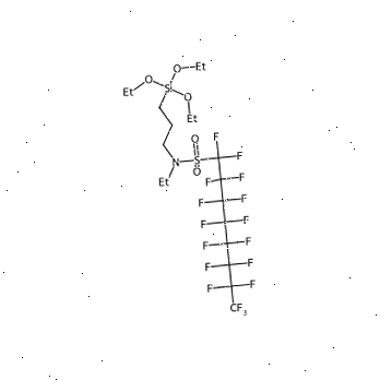 CCO[Si](CCCN(CC)S(=O)(=O)C(F)(F)C(F)(F)C(F)(F)C(F)(F)C(F)(F)C(F)(F)C(F)(F)C(F)(F)F)(OCC)OCC